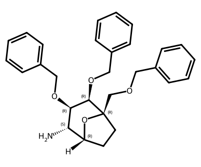 N[C@@H]1[C@@H](OCc2ccccc2)[C@@H](OCc2ccccc2)[C@]2(COCc3ccccc3)CC[C@H]1O2